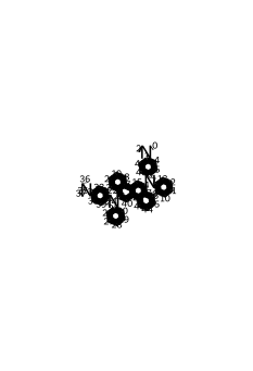 CN(C)c1ccc(N(c2ccccc2)c2cc3c4ccccc4c(N(c4ccccc4)c4ccc(N(C)C)cc4)cc3c3ccccc23)cc1